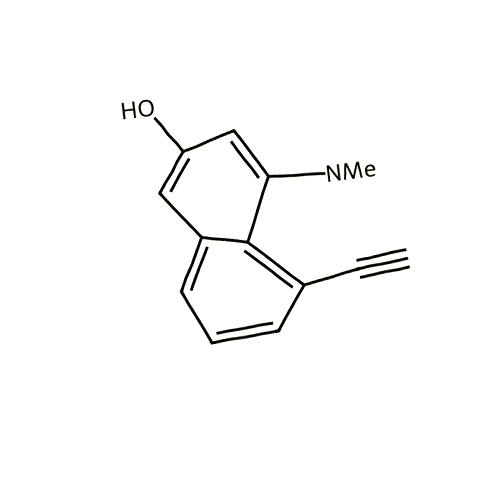 C#Cc1cccc2cc(O)cc(NC)c12